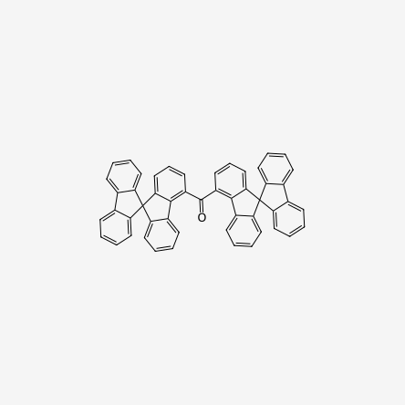 O=C(c1cccc2c1-c1ccccc1C21c2ccccc2-c2ccccc21)c1cccc2c1-c1ccccc1C21c2ccccc2-c2ccccc21